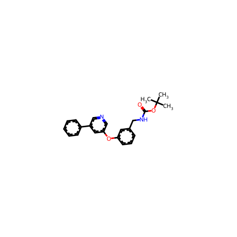 CC(C)(C)OC(=O)NCc1cccc(Oc2cncc(-c3ccccc3)c2)c1